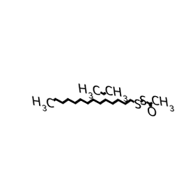 CCC.CCCCCCCCCCCCCCSSC(C)=O